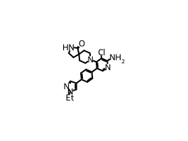 CCn1cc(-c2ccc(-c3cnc(N)c(Cl)c3N3CCC4(CCNC4=O)CC3)cc2)cn1